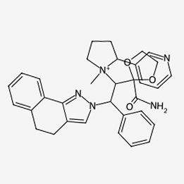 C[N+]1(C(C(c2ccccc2)n2cc3c(n2)-c2ccccc2CC3)C2(C(N)=O)OCCO2)CCCC1c1cccnc1